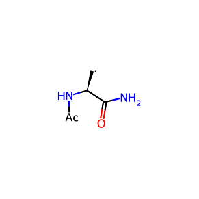 [CH2][C@H](NC(C)=O)C(N)=O